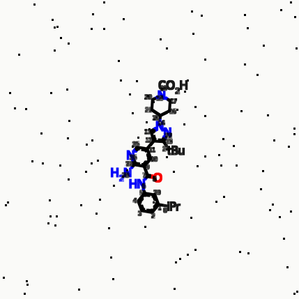 CC(C)c1cccc(NC(=O)c2cc(-c3cn(C4CCN(C(=O)O)CC4)nc3C(C)(C)C)cnc2N)c1